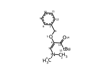 CN(C)C=C(OCc1ccccc1)C(=O)C(C)(C)C